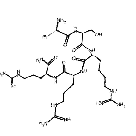 CC(C)[C@H](N)C(=O)N[C@@H](CO)C(=O)N[C@@H](CCCCNC(=N)N)C(=O)N[C@@H](CCCNC(=N)N)C(=O)N[C@@H](CCCNC(=N)N)C(N)=O